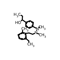 CCc1cccc(C)c1CCN(C)N(C)c1ccc(C(O)CC)cc1